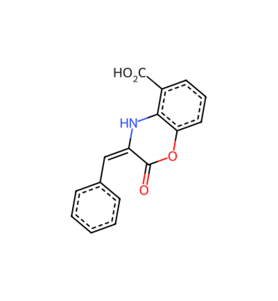 O=C1Oc2cccc(C(=O)O)c2N/C1=C/c1ccccc1